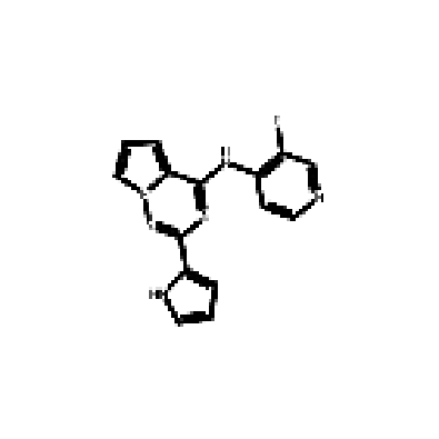 Fc1cnccc1Nc1nc(-c2ccc[nH]2)nn2cccc12